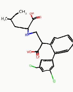 CC(C)CC(NCC(C(=O)O)c1ccccc1-c1cc(Cl)cc(Cl)c1)C(=O)O